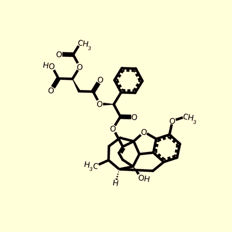 COc1ccc2c3c1OC14CCC(C)[C@H](C2)[C@](O)(CC=C1OC(=O)[C@@H](OC(=O)C[C@H](OC(C)=O)C(=O)O)c1ccccc1)C34